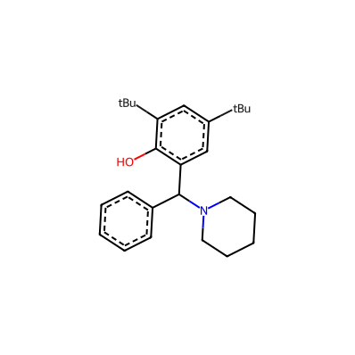 CC(C)(C)c1cc(C(c2ccccc2)N2CCCCC2)c(O)c(C(C)(C)C)c1